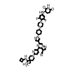 CCC1(C(=O)NC2CCC2)CCN(c2ccc(-c3nc(-c4cnn([C@H]5CC[C@H](N6CCN(c7c(F)cc(N[C@@H]8CCC(=O)NC8=O)cc7F)CC6)CC5)c4)cn4ncc(C#N)c34)cn2)CC1